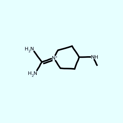 CNC1CC[N+](=C(N)N)CC1